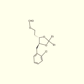 CCC1(CC)O[C@@H](CCOC=O)[C@H](Cc2ccccc2Cl)O1